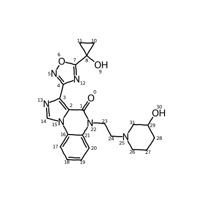 O=c1c2c(-c3noc(C4(O)CC4)n3)ncn2c2ccccc2n1CCN1CCCC(O)C1